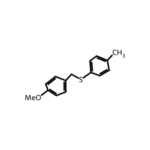 COc1ccc(CSc2ccc(C)cc2)cc1